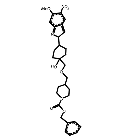 COc1cc2c(cc1[N+](=O)[O-])=CC(C1CCC(O)(COCC3CCN(C(=O)OCc4ccccc4)CC3)CC1)N=2